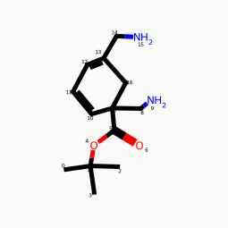 CC(C)(C)OC(=O)C1(CN)C=CC=C(CN)C1